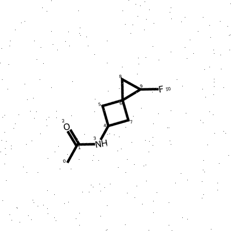 CC(=O)NC1CC2(C1)CC2F